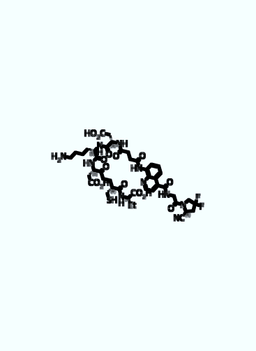 CC[C@H](NC(=O)[C@H](CS)CCC(=O)[C@H](CC(=O)O)NC(=O)[C@H](CCCCN)NC(=O)[C@H](CC(=O)O)NC(=O)CCC(=O)Nc1cccc2c(C(=O)NCC(=O)N3CC(F)(F)C[C@H]3C#N)ccnc12)C(=O)O